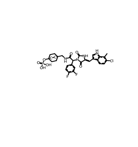 Cc1c(Cl)ccc2c(/C=C3\NC(=O)N(C(C(=O)NCC45CCC(OP(=O)(O)O)(CC4)CC5)c4ccc(F)c(F)c4)C3=O)c[nH]c12